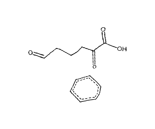 O=CCCCC(=O)C(=O)O.c1ccccc1